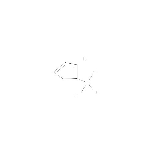 Br.[CH3][Ti]([CH3])([SiH3])[C]1=CC=CC1